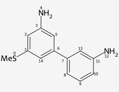 CSc1cc(N)cc(-c2cccc(N)c2)c1